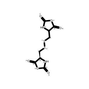 O=C1NC(CSSC[C@H]2NC(=O)OC2=O)C(=O)O1